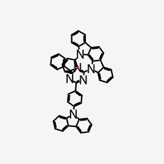 c1ccc(-c2nc(-c3ccc(-n4c5ccccc5c5ccccc54)cc3)nc(-n3c4ccccc4c4ccc5c6ccccc6n(-c6ccccc6)c5c43)n2)cc1